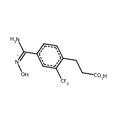 N/C(=N/O)c1ccc(CCC(=O)O)c(C(F)(F)F)c1